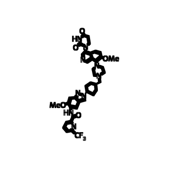 COc1cc2nn([C@H]3CC[C@H](CN4CCN(c5c(OC)ccc6c(N7CCC(=O)NC7=O)cncc56)CC4)CC3)cc2cc1NC(=O)c1cccc(C(F)(F)F)n1